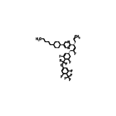 C=CC[C@H](/C=C(/F)C[C@H]1C=C(F)C(C(F)(F)Oc2cc(F)c(C(F)(F)F)c(F)c2)=C(F)C1)c1ncc(C2CCC(CCCCC)CC2)cn1